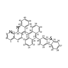 c1cnc2c(c1)ccc1c(-c3c4ccccc4c(-c4ccc5c(c4)sc4ccccc45)c4ccccc34)c3ccccc3nc12